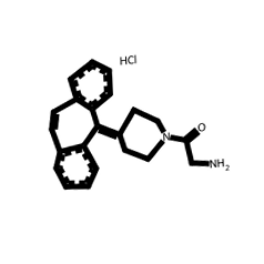 Cl.NCC(=O)N1CCC(=C2c3ccccc3C=Cc3ccccc32)CC1